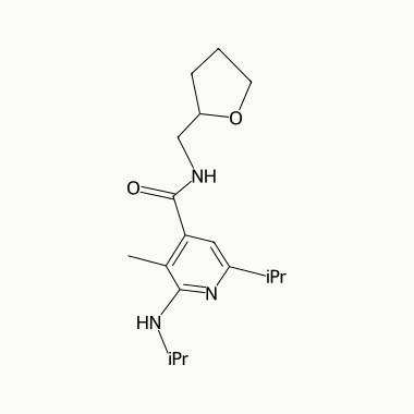 Cc1c(C(=O)NCC2CCCO2)cc(C(C)C)nc1NC(C)C